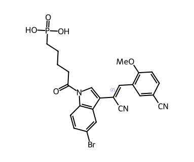 COc1ccc(C#N)cc1/C=C(\C#N)c1cn(C(=O)CCCCP(=O)(O)O)c2ccc(Br)cc12